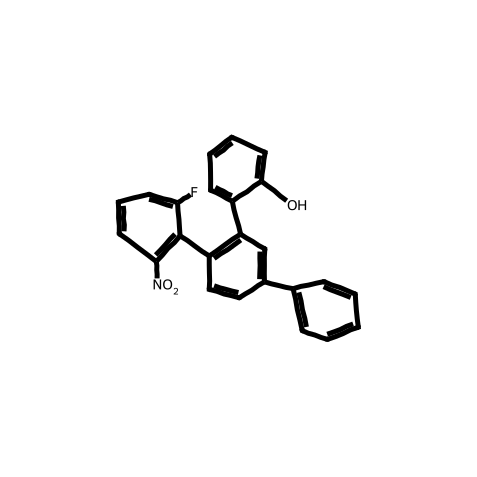 O=[N+]([O-])c1cccc(F)c1-c1ccc(-c2ccccc2)cc1-c1ccccc1O